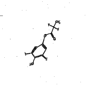 CC(F)(F)C(=O)Oc1cc(I)c(O)c(I)c1